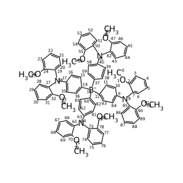 COc1ccccc1N(c1ccc([B-](c2ccc(N(c3ccccc3OC)c3ccccc3OC)cc2)(c2ccc(N(c3ccccc3OC)c3ccccc3OC)cc2)c2ccc(N(c3ccccc3OC)c3ccccc3OC)cc2)cc1)c1ccccc1OC